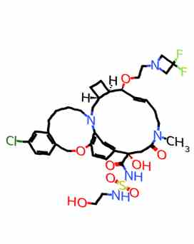 CN1CC/C=C/[C@H](OCCN2CC(F)(F)C2)[C@@H]2CC[C@H]2CN2CCCCc3cc(Cl)ccc3COc3ccc(cc32)[C@@](O)(C(=O)NS(=O)(=O)NCCO)CC1=O